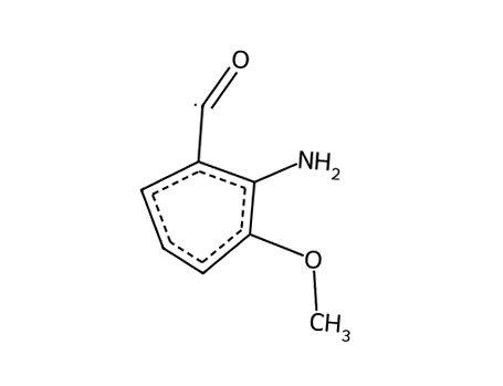 COc1cccc([C]=O)c1N